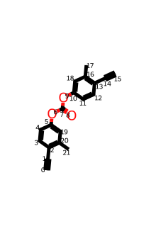 C#Cc1ccc(OC(=O)Oc2ccc(C#C)c(C)c2)cc1C